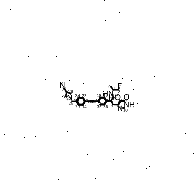 CC(CF)NCC(Cc1nc[nH]c(=O)c1O)c1ccc(C#Cc2ccc(CN3CC(C#N)C3)cc2)cc1